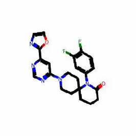 O=C1CCCC2(CCN(c3cc(-c4ncco4)ncn3)CC2)N1c1ccc(F)c(F)c1